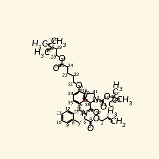 C=CCOC(=O)[C@H](Cc1ccccc1)N(Cc1ccc(OCCCCC(=O)OCC[Si](C)(C)C)cc1)C(=O)[C@H]1CCCN1C(=O)OC(C)(C)C